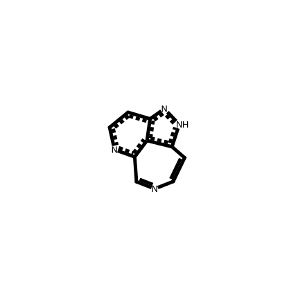 C1=Cc2[nH]nc3ccnc(c23)C=N1